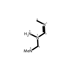 C/N=C\N(N)CNC